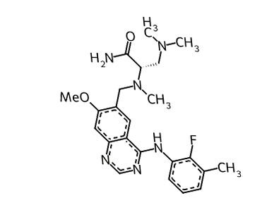 COc1cc2ncnc(Nc3cccc(C)c3F)c2cc1CN(C)[C@@H](CN(C)C)C(N)=O